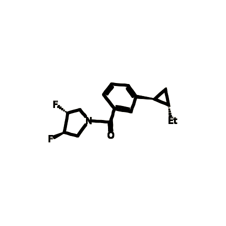 CC[C@H]1C[C@@H]1c1cccc(C(=O)N2C[C@@H](F)[C@H](F)C2)c1